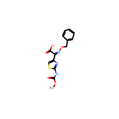 COC(=O)Nc1nc(/C(=N/OCc2ccccc2)C(=O)O)cs1